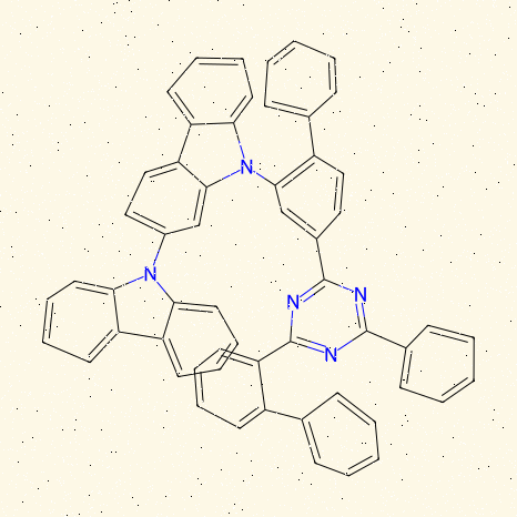 c1ccc(-c2nc(-c3ccc(-c4ccccc4)c(-n4c5ccccc5c5ccc(-n6c7ccccc7c7ccccc76)cc54)c3)nc(-c3ccccc3-c3ccccc3)n2)cc1